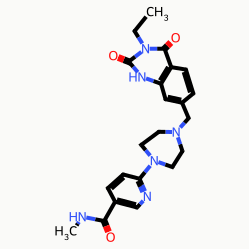 CCn1c(=O)[nH]c2cc(CN3CCN(c4ccc(C(=O)NC)cn4)CC3)ccc2c1=O